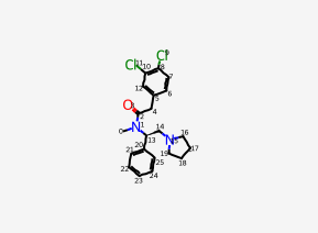 CN(C(=O)Cc1ccc(Cl)c(Cl)c1)[C@@H](CN1C[CH]CC1)c1ccccc1